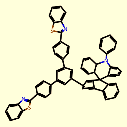 C1=CC2C(C=C1)C1(c3ccccc3-c3ccc(-c4cc(-c5ccc(-c6nc7ccccc7s6)cc5)cc(-c5ccc(-c6nc7ccccc7s6)cc5)c4)cc31)c1ccccc1N2c1ccccc1